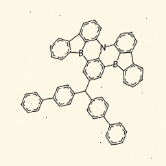 c1ccc(-c2ccc(C(c3ccc(-c4ccccc4)cc3)c3cc4c5c(c3)B3c6ccccc6-c6cccc(c63)N5c3cccc5c3B4c3ccccc3-5)cc2)cc1